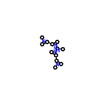 c1ccc(-c2cc(-n3c4ccccc4c4cc(-c5ccc6c(c5)c5ccccc5n6-c5ccccc5)ccc43)nc(-n3c4ccccc4c4cc(-c5ccc6c(c5)c5ccccc5n6-c5ccccc5)ccc43)n2)cc1